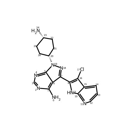 Nc1ncnc2c1c(-c1[nH]c3ncccc3c1Cl)nn2[C@H]1CC[C@@H](N)CC1